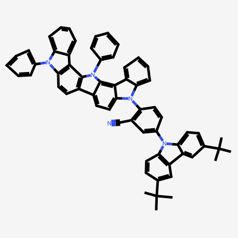 CC(C)(C)c1ccc2c(c1)c1cc(C(C)(C)C)ccc1n2-c1ccc(-n2c3ccccc3c3c2ccc2c4ccc5c(c6ccccc6n5-c5ccccc5)c4n(-c4ccccc4)c23)c(C#N)c1